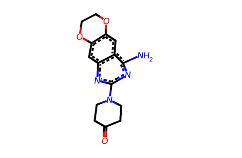 Nc1nc(N2CCC(=O)CC2)nc2cc3c(cc12)OCCO3